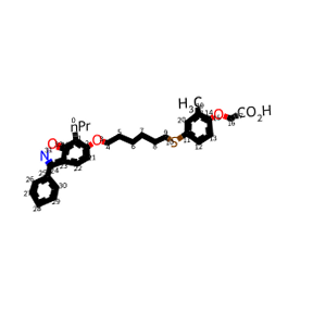 CCCc1c(OCCCCCCSc2ccc(OCC(=O)O)c(C)c2)ccc2c(-c3ccccc3)noc12